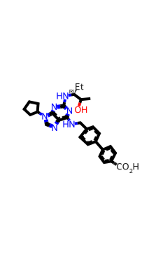 CC[C@@H](Nc1nc(NCc2ccc(-c3ccc(C(=O)O)cc3)cc2)c2ncn(C3CCCC3)c2n1)C(C)O